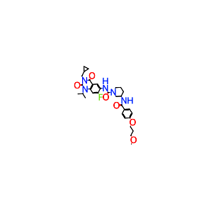 COCCCOc1ccc(C(=O)NC2CCCN(C(=O)Nc3cc4c(=O)n(CC5CC5)c(=O)n(C(C)C)c4cc3F)C2)cc1